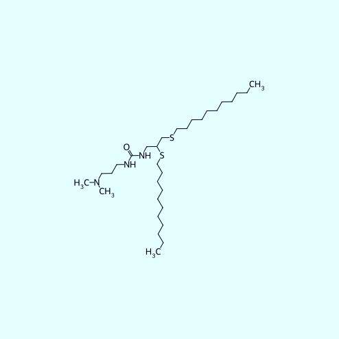 CCCCCCCCCCCSCC(CNC(=O)NCCCN(C)C)SCCCCCCCCCCC